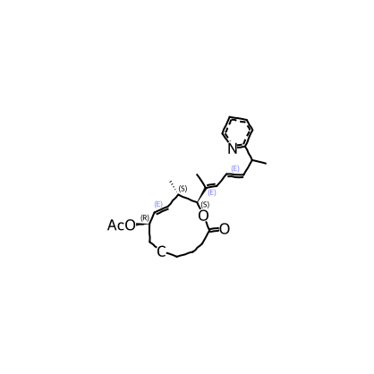 CC(=O)O[C@H]1/C=C/[C@H](C)[C@@H](/C(C)=C/C=C/C(C)c2ccccn2)OC(=O)CCCCC1